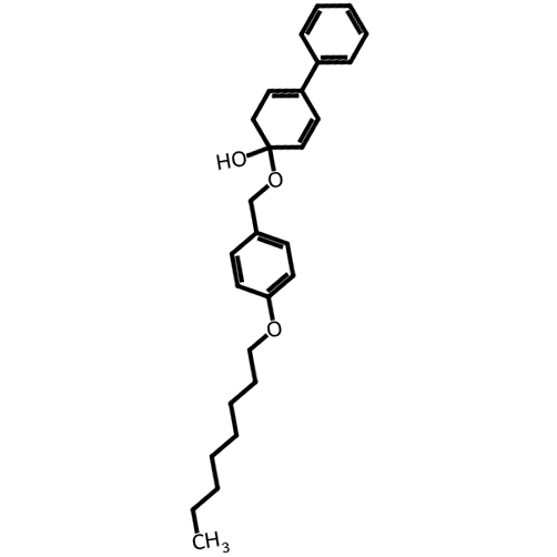 CCCCCCCCOc1ccc(COC2(O)C=CC(c3ccccc3)=CC2)cc1